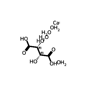 O.O.O.O.O=C(O)[C@H](O)[C@@H](O)C(=O)O.[Ca]